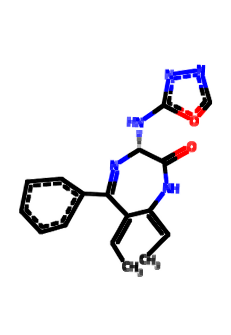 C/C=C1/NC(=O)[C@@H](Nc2nnco2)N=C(c2ccccc2)/C1=C/C